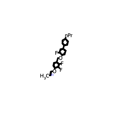 C/C=C/Oc1ccc(COc2ccc(-c3ccc(CCC)cc3)cc2F)c(F)c1F